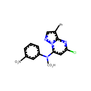 CC(C)c1cnn2c(N(C(=O)O)c3cccc([N+](=O)[O-])c3)cc(Cl)nc12